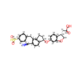 N#Cc1ccc2c(c1Cc1ccc([SH](=O)=O)cc1)CC[C@H]2Oc1ccc2c(c1)OC[C@H]2CC(=O)O